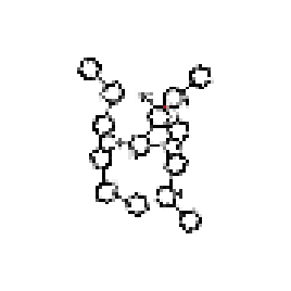 N#Cc1cccc(-c2cc(-n3c4cc(-c5cccc(-c6ccccc6)n5)ccc4c4ccc(-c5cccc(-c6ccccc6)n5)cc43)ncc2-n2c3cc(-c4cccc(-c5ccccc5)n4)ccc3c3ccc(-c4cccc(-c5ccccc5)n4)cc32)c1